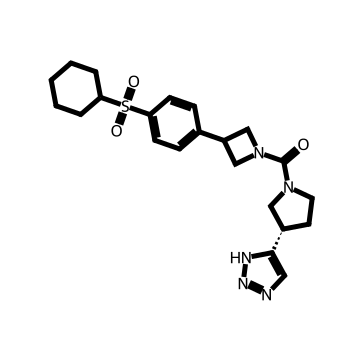 O=C(N1CC(c2ccc(S(=O)(=O)C3CCCCC3)cc2)C1)N1CC[C@H](c2cnn[nH]2)C1